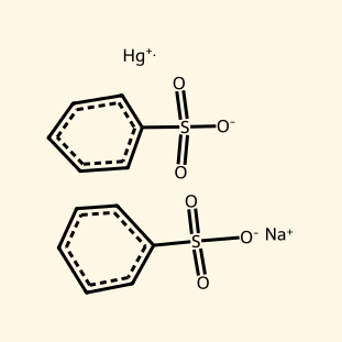 O=S(=O)([O-])c1ccccc1.O=S(=O)([O-])c1ccccc1.[Hg+].[Na+]